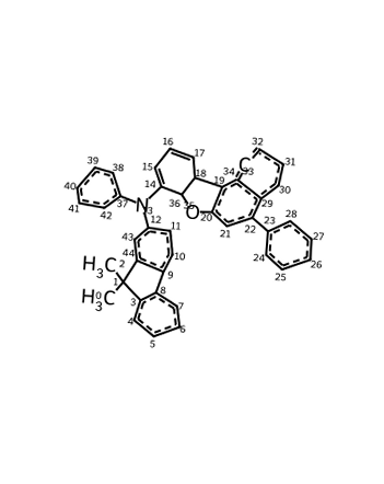 CC1(C)c2ccccc2-c2ccc(N(C3=CC=CC4c5c(cc(-c6ccccc6)c6ccccc56)OC34)c3ccccc3)cc21